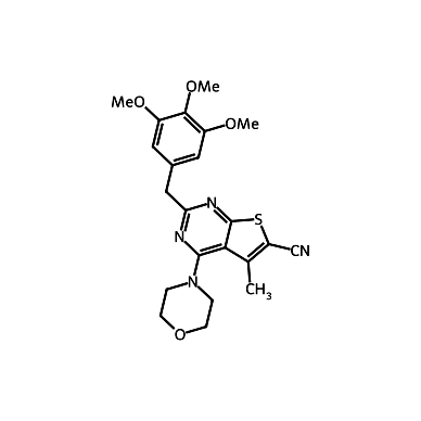 COc1cc(Cc2nc(N3CCOCC3)c3c(C)c(C#N)sc3n2)cc(OC)c1OC